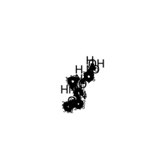 O=C(O)Nc1cccc(C(=O)Nc2cccc(Nc3cc(-c4cccc5c4oc4ccccc45)ncn3)c2)c1